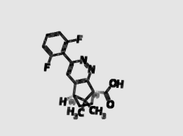 CC1(C)[C@H]2CC[C@]1(C(=O)O)c1nnc(-c3c(F)cccc3F)cc12